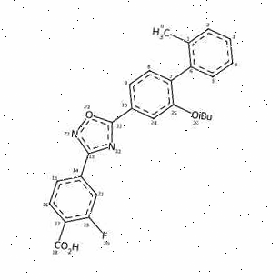 Cc1ccccc1-c1ccc(-c2nc(-c3ccc(C(=O)O)c(F)c3)no2)cc1OCC(C)C